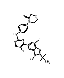 CC(C)n1c(C(C)(C)N)nc2c(F)cc(-c3nc(Nc4ccc(N5CCOCC5=O)cc4)ncc3Cl)cc21